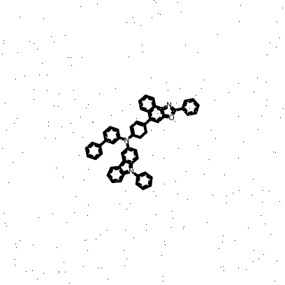 C1=C(c2cc3oc(-c4ccccc4)nc3c3ccccc23)CCC(N(c2cccc(-c3ccccc3)c2)c2ccc3c(c2)c2ccccc2n3-c2ccccc2)=C1